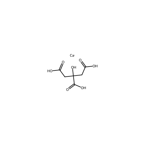 O=C(O)CC(O)(CC(=O)O)C(=O)O.[Ca]